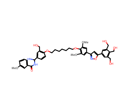 COc1ccc2c(c1)C(=O)NC(c1ccc(OCCCCCCCOc3c(OC)cc(-c4cc(-c5cc(CO)c(CO)c(CO)c5)on4)cc3OC)c(CO)c1)N2